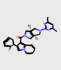 Cc1cc(C)nc(N2C[C@H]3CN(C(=O)c4c(-c5ccccc5F)cn5ccccc45)C[C@H]3C2)n1